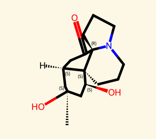 C[C@]1(O)C[C@H]2CC(=O)[C@]34CCCN3CCC[C@]24[C@@H](O)C1